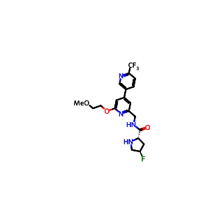 COCCOc1cc(-c2ccc(C(F)(F)F)nc2)cc(CNC(=O)[C@@H]2C[C@@H](F)CN2)n1